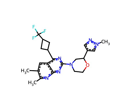 Cc1cc2c(C3CC(C(F)(F)F)C3)nc(N3CCOC(c4cnn(C)c4)C3)nc2nc1C